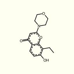 CCc1c(O)ccc2c(=O)cc(N3CCOCC3)oc12